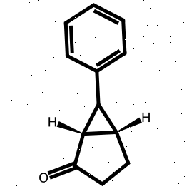 O=C1CC[C@H]2C(c3ccccc3)[C@@H]12